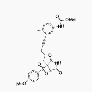 COC(=O)Nc1ccc(C)c(C#CCCCC2(S(=O)(=O)c3ccc(OC)cc3)SC(=O)NC2=O)c1